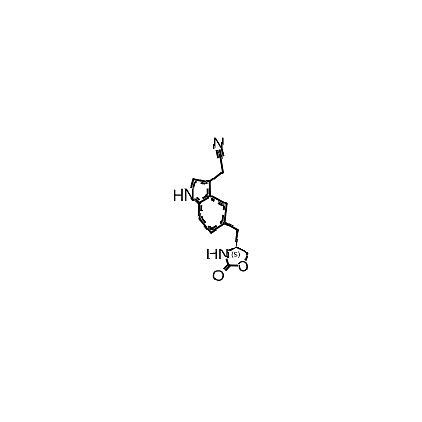 N#CCc1c[nH]c2ccc(C[C@H]3COC(=O)N3)cc12